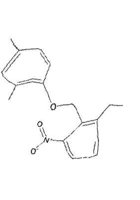 CCc1cccc([N+](=O)[O-])c1COc1ccc(C)cc1C